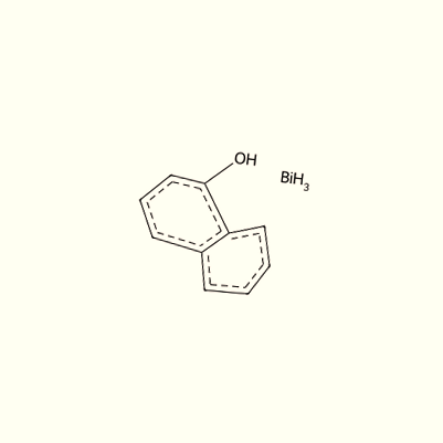 Oc1cccc2ccccc12.[BiH3]